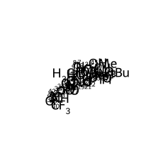 CC[C@H](C)[C@@H]([C@@H](CC(=O)N1CCC[C@H]1[C@H](OC)[C@@H](C)C(=O)N[C@@H](Cc1ccccc1)C(=O)NS(=O)(=O)c1ccc(C2(NC(=O)C(F)(F)F)CC2)cc1)OC)N(C)C(=O)[C@@H](NC(=O)OC(C)(C)C)C(C)C